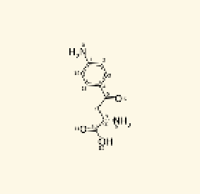 Nc1ccc(C(=O)C[C@H](N)C(=O)O)cc1